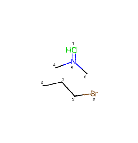 CCCBr.CNC.Cl